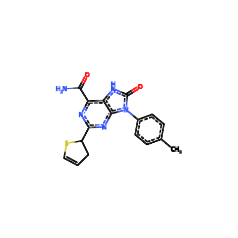 Cc1ccc(-n2c(=O)[nH]c3c(C(N)=O)nc(C4CC=CS4)nc32)cc1